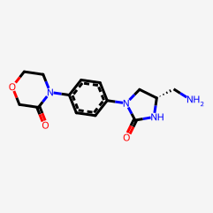 NC[C@H]1CN(c2ccc(N3CCOCC3=O)cc2)C(=O)N1